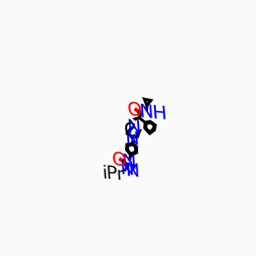 CC(C)n1ncn(-c2ccc(N3CCN(CC(C(=O)NC4CC4)c4ccccc4)CC3)cc2)c1=O